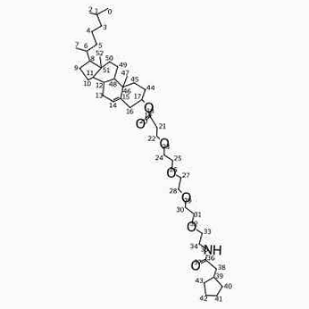 CC(C)CCCC(C)C1CCC2C3CC=C4CC(OC(=O)CCOCCOCCOCCOCCNC(=O)CC5CCCC5)CCC4(C)C3CCC12C